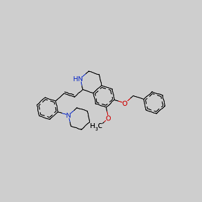 COc1cc2c(cc1OCc1ccccc1)CCNC2C=Cc1ccccc1N1CCCCC1